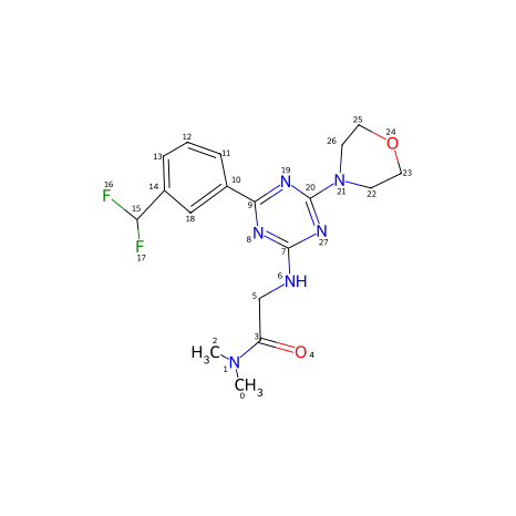 CN(C)C(=O)CNc1nc(-c2cccc(C(F)F)c2)nc(N2CCOCC2)n1